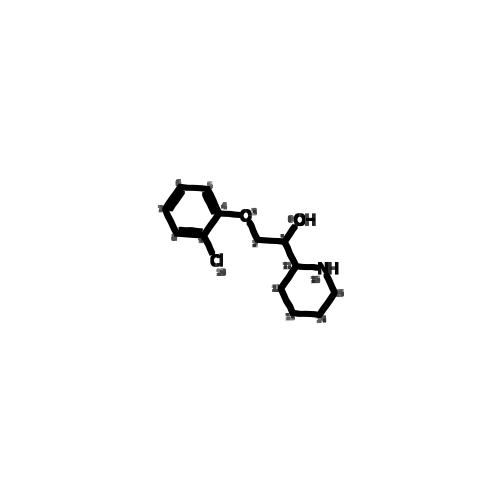 OC(COc1ccccc1Cl)C1CCCCN1